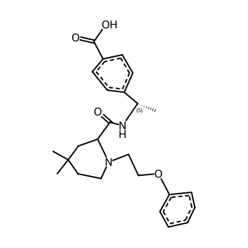 C[C@H](NC(=O)C1CC(C)(C)CCN1CCOc1ccccc1)c1ccc(C(=O)O)cc1